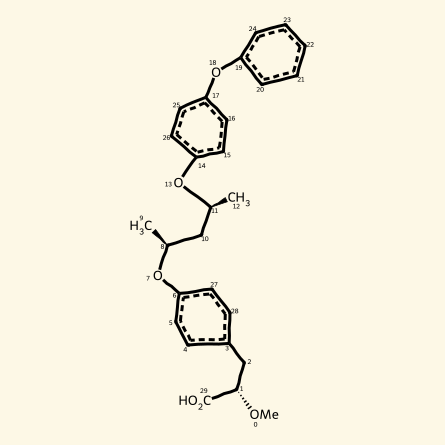 CO[C@@H](Cc1ccc(O[C@@H](C)C[C@H](C)Oc2ccc(Oc3ccccc3)cc2)cc1)C(=O)O